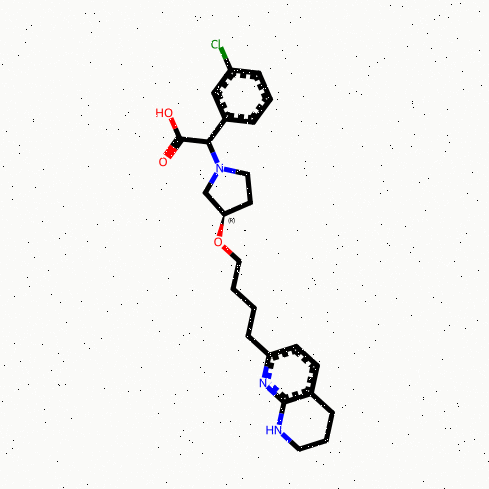 O=C(O)C(c1cccc(Cl)c1)N1CC[C@@H](OCCCCc2ccc3c(n2)NCCC3)C1